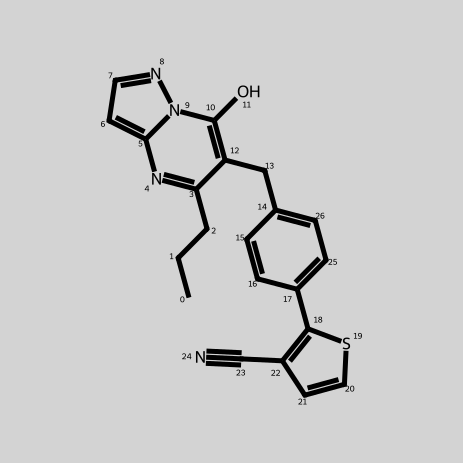 CCCc1nc2ccnn2c(O)c1Cc1ccc(-c2sccc2C#N)cc1